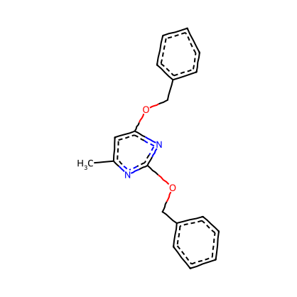 Cc1cc(OCc2ccccc2)nc(OCc2ccccc2)n1